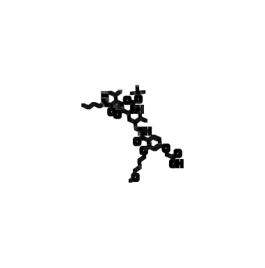 CCCCNC(=O)C(CC(O)C(CC(CNC(=O)c1ccc(OCC(=O)O)cc1OCCCCOC)C(C)C)NC(=O)OC(C)(C)C)C(C)C